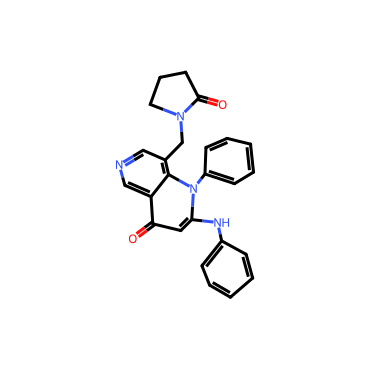 O=C1CCCN1Cc1cncc2c(=O)cc(Nc3ccccc3)n(-c3ccccc3)c12